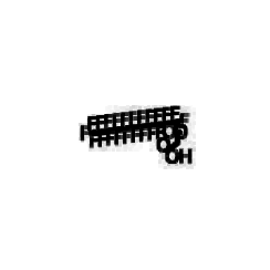 O=C(O)CC(=O)OC(F)(C(F)(F)F)C(F)(F)C(F)(F)C(F)(F)C(F)(F)C(F)(F)C(F)(F)C(F)(F)C(F)(F)C(F)(F)F